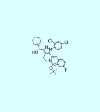 CC(C)(C)OC(=O)N1CCc2c(C(O)N3CCCCC3)nn(-c3ccc(Cl)cc3Cl)c2/C1=C/c1ccc(F)cc1